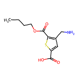 CCCCOC(=O)c1sc(C(=O)O)cc1CN